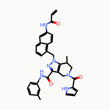 C=CC(=O)Nc1ccc2c(Cn3nc(C(=O)Nc4cccc(C)c4)c4c3C(C)CN(C(=O)c3ccc[nH]3)C4)cccc2c1